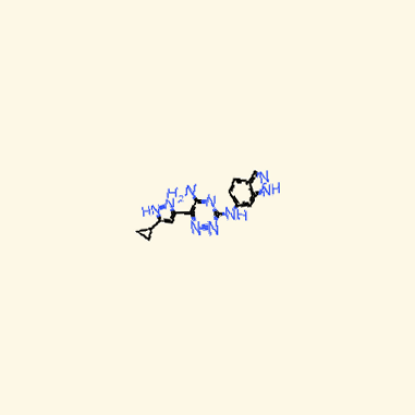 Nc1nc(Nc2ccc3cn[nH]c3c2)nnc1-c1cc(C2CC2)[nH]n1